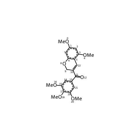 COc1cc(OC)c2c(c1)OCC(C(=O)c1cc(OC)c(OC)c(OC)c1)=C2